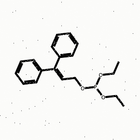 CCOP(OCC)OCC=C(c1ccccc1)c1ccccc1